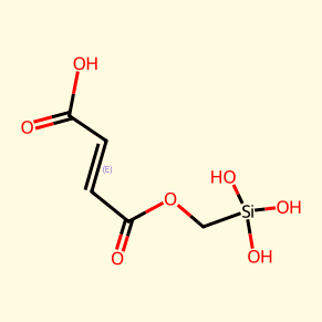 O=C(O)/C=C/C(=O)OC[Si](O)(O)O